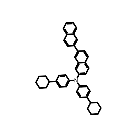 c1ccc2cc(-c3ccc4ccc(N(c5ccc(C6CCCCC6)cc5)c5ccc(C6CCCCC6)cc5)cc4c3)ccc2c1